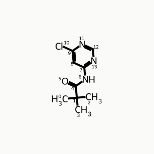 CC(C)(C)C(=O)Nc1cc(Cl)ncn1